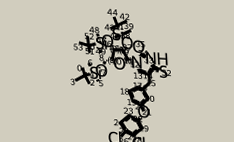 CC(C)(C)[Si](C)(C)OC[C@H]1O[C@@H](n2cc(Cc3cccc(Oc4ccc(Cl)c(Cl)c4)c3)c(=S)[nH]c2=O)[C@H](O[Si](C)(C)C(C)(C)C)[C@@H]1O[Si](C)(C)C(C)(C)C